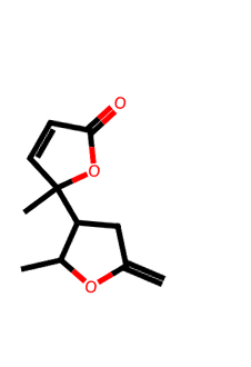 C=C1CC(C2(C)C=CC(=O)O2)C(C)O1